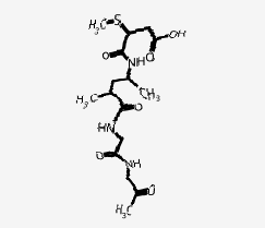 CSC(CC(=O)O)C(=O)NC(C)CC(C)C(=O)NCC(=O)NCC(C)=O